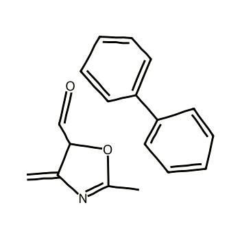 C=C1N=C(C)OC1C=O.c1ccc(-c2ccccc2)cc1